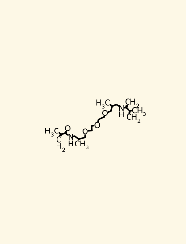 C=C(C)C(=C)NCC(C)COCCOCCOCC(C)CNC(=O)C(=C)C